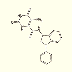 Nc1c(C(=O)NC2CC(c3ccccc3)c3ccccc32)[nH]c(=O)[nH]c1=O